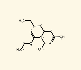 CCCCC(CC(=O)O)N(CC)C(=O)OCC